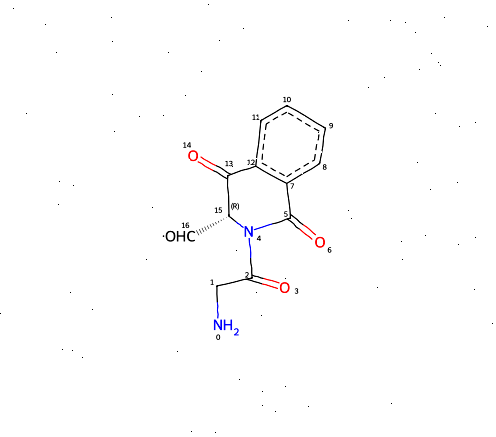 NCC(=O)N1C(=O)c2ccccc2C(=O)[C@H]1[C]=O